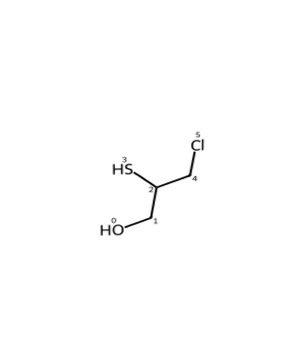 OCC(S)CCl